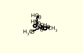 COCCCCC(Nc1ccccc1C(=O)NCCC(=O)O)c1oc2ccc(OC)cc2c1C